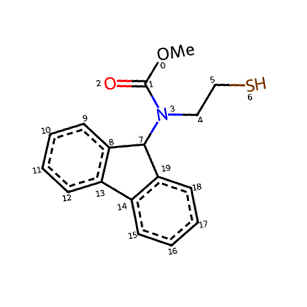 COC(=O)N(CCS)C1c2ccccc2-c2ccccc21